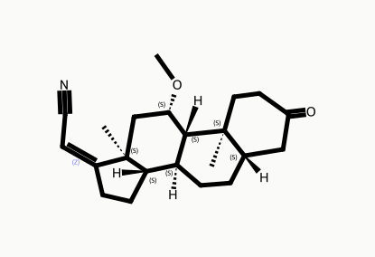 CO[C@H]1C[C@]2(C)/C(=C\C#N)CC[C@H]2[C@@H]2CC[C@H]3CC(=O)CC[C@]3(C)[C@H]21